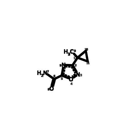 CC1(c2noc(C(N)=O)n2)CC1